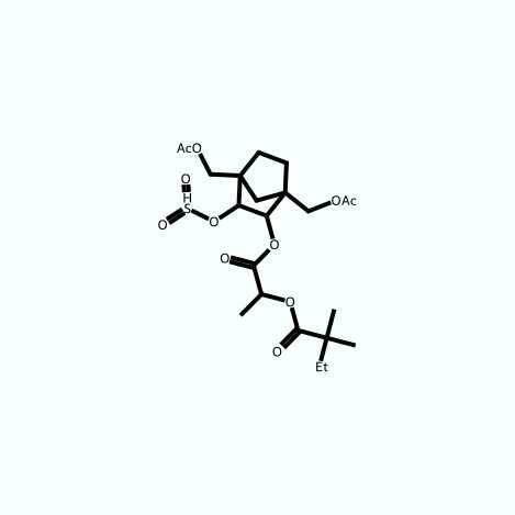 CCC(C)(C)C(=O)OC(C)C(=O)OC1C(O[SH](=O)=O)C2(COC(C)=O)CCC1(COC(C)=O)C2